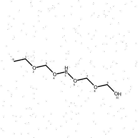 CCOCOBOCOCO